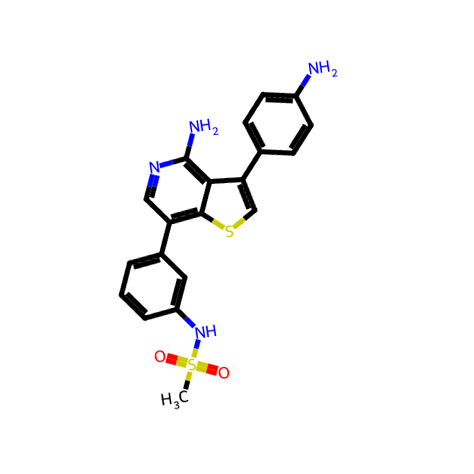 CS(=O)(=O)Nc1cccc(-c2cnc(N)c3c(-c4ccc(N)cc4)csc23)c1